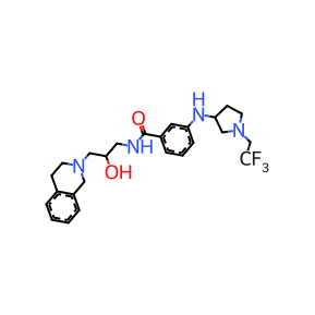 O=C(NCC(O)CN1CCc2ccccc2C1)c1cccc(NC2CCN(CC(F)(F)F)C2)c1